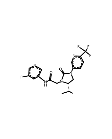 CC(C)[C@H]1CN(c2ccc(C(F)(F)F)nc2)C(=O)N1CC(=O)Nc1cncc(F)c1